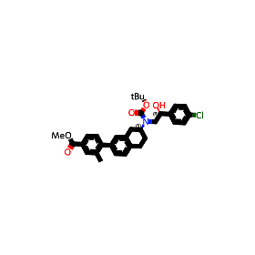 COC(=O)c1ccc(-c2ccc3c(c2)C[C@@H](N(C[C@H](O)c2ccc(Cl)cc2)C(=O)OC(C)(C)C)CC3)c(C)c1